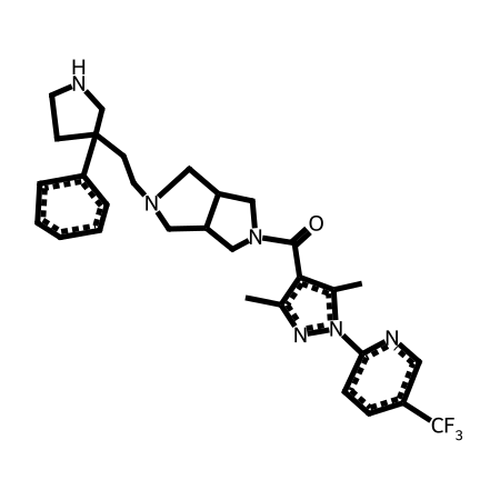 Cc1nn(-c2ccc(C(F)(F)F)cn2)c(C)c1C(=O)N1CC2CN(CCC3(c4ccccc4)CCNC3)CC2C1